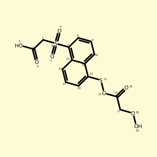 O=C(O)CS(=O)(=O)c1cccc2c(SOC(=O)COO)cccc12